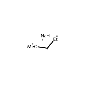 [CH2]CCOC.[NaH]